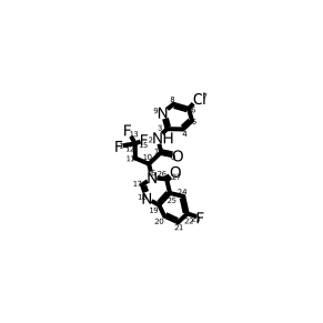 O=C(Nc1ccc(Cl)cn1)C(CC(F)(F)F)n1cnc2ccc(F)cc2c1=O